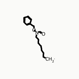 [CH2]CCCCCCCN(C=O)OCc1ccccc1